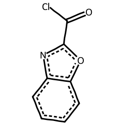 O=C(Cl)c1nc2ccccc2o1